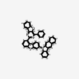 c1ccc(-c2nc(-c3cccc4sc5cc(-n6c7ccccc7c7cc8ccccc8cc76)ccc5c34)nc3c2oc2ccccc23)cc1